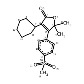 CC1(C)OC(=O)C(C2CCCCC2)=C1c1ccc(S(C)(=O)=O)cc1